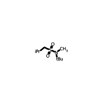 CC(C)CS(=O)(=O)N(C)C(C)(C)C